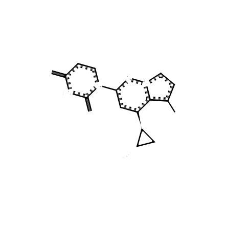 CC(C)[C@H]1C[C@@H]1c1cc(-n2ccc(=O)[nH]c2=O)nn2ccc(F)c12